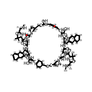 CN[C@@H](C)C(=O)N[C@H](C(=O)N1C[C@@H]2C[C@H]1C(=O)N[C@@H](Cc1ccc3ccccc3c1)C(=O)N[C@H](C(=O)O)Cc1ccc(cc1)OCc1cn(nn1)[C@H]1C[C@@H](C(=O)N[C@@H](Cc3ccc4ccccc4c3)C(=O)N[C@H](C(=O)O)Cc3ccc(cc3)NC(=O)CCc3cn2nn3)N(C(=O)[C@@H](NC(=O)[C@H](C)NC)C(C)(C)C)C1)C(C)(C)C